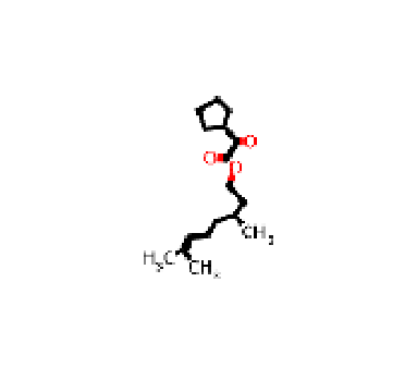 CC(C)=CCCC(C)CCOC(=O)C(=O)C1CCCC1